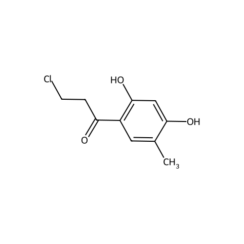 Cc1cc(C(=O)CCCl)c(O)cc1O